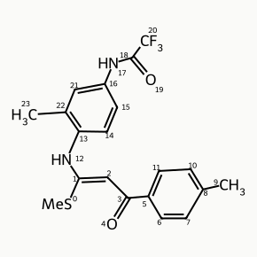 CS/C(=C\C(=O)c1ccc(C)cc1)Nc1ccc(NC(=O)C(F)(F)F)cc1C